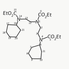 CCOC(=O)N(CCN(C(=O)OCC)C1CCCCC1)CCN(C(=O)OCC)C1CCCCC1